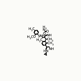 COc1cc(C)ccc1SNCC(C(=N)OC(N)=O)C(C)c1c(C)ccc(/C(C=N)=C/NC2CC2)c1C